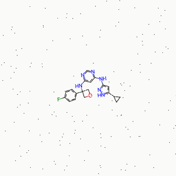 Fc1ccc(C2(Nc3cc(Nc4cc(C5CC5)[nH]n4)ncn3)COC2)cc1